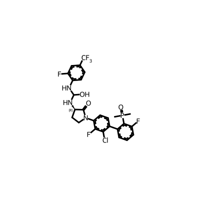 CP(C)(=O)c1c(F)cccc1-c1ccc(N2CC[C@@H](NC(O)Nc3ccc(C(F)(F)F)cc3F)C2=O)c(F)c1Cl